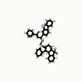 C/C(=C\C(=N/Cn1c2ccccc2c2c3c(ccc21)C(C)(C)c1ccccc1-3)c1ccc2c(c1)oc1ccccc12)c1ccccc1